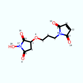 O=C1CC(OCCCN2C(=O)C=CC2=O)C(=O)N1O